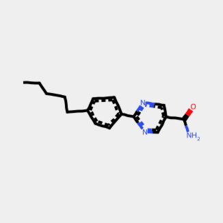 CCCCCc1ccc(-c2ncc(C(N)=O)cn2)cc1